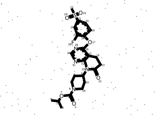 CC(C)OC(=O)N1CCC(N2C(=O)CCc3c(Oc4ccc(S(C)(=O)=O)cc4F)ncnc32)CC1